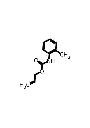 C=CCOC(=O)Nc1ccc[c]c1C